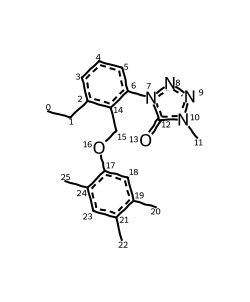 CCc1cccc(-n2nnn(C)c2=O)c1COc1cc(C)c(C)cc1C